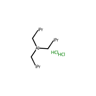 CC(C)[CH2][Al]([CH2]C(C)C)[CH2]C(C)C.Cl.Cl